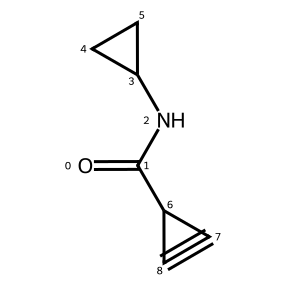 O=C(NC1CC1)C1C#C1